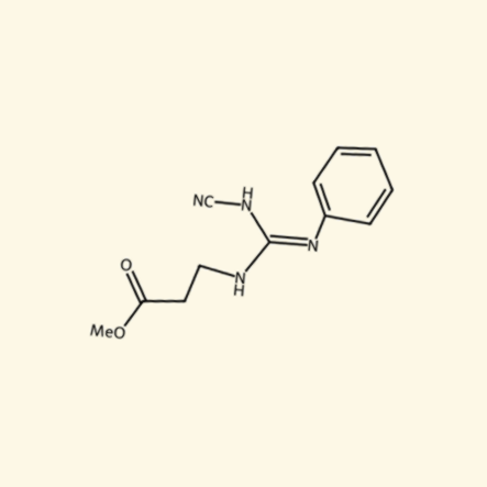 COC(=O)CCNC(=Nc1ccccc1)NC#N